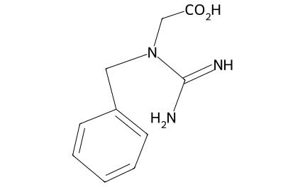 N=C(N)N(CC(=O)O)Cc1ccccc1